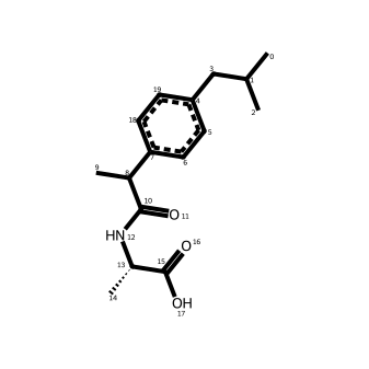 CC(C)Cc1ccc(C(C)C(=O)N[C@@H](C)C(=O)O)cc1